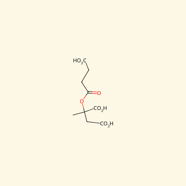 CC(CC(=O)O)(OC(=O)CCC(=O)O)C(=O)O